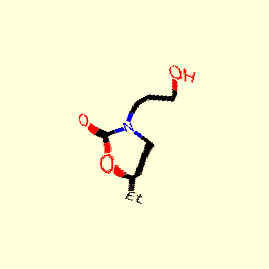 CCC1CN(CCO)C(=O)O1